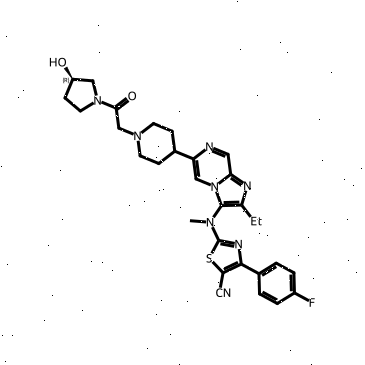 CCc1nc2cnc(C3CCN(CC(=O)N4CC[C@@H](O)C4)CC3)cn2c1N(C)c1nc(-c2ccc(F)cc2)c(C#N)s1